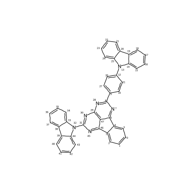 c1ccc2c(c1)-c1nc(-c3ccc(-n4c5ccccc5c5ccccc54)cc3)nc3nc(-n4c5ccccc5c5ccccc54)nc-2c13